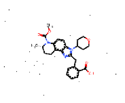 COC(=O)N1c2ccc3c(nc(Cc4ccccc4C(=O)O)n3C3CCOCC3)c2CC[C@@H]1C